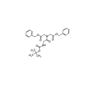 CC(C)(C)OC(=O)NCC(=O)N(CC(=O)OCc1ccccc1)CC(=O)OCc1ccccc1